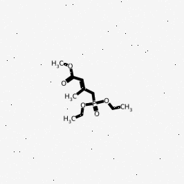 CCOP(=O)(C/C(C)=C/C(=O)OC)OCC